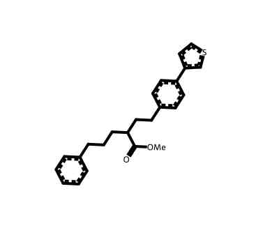 COC(=O)C(CCCc1ccccc1)CCc1ccc(-c2ccsc2)cc1